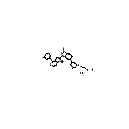 CN(C)CCOc1cncc(-c2ccc3[nH]nc(-c4cc5c(-c6cccc(F)c6)nccc5[nH]4)c3c2)c1